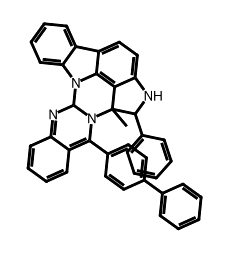 CC12c3c(ccc4c5ccccc5n(c34)C3N=c4ccccc4=C(c4ccc(-c5ccccc5)cc4)N31)NC2c1ccccc1